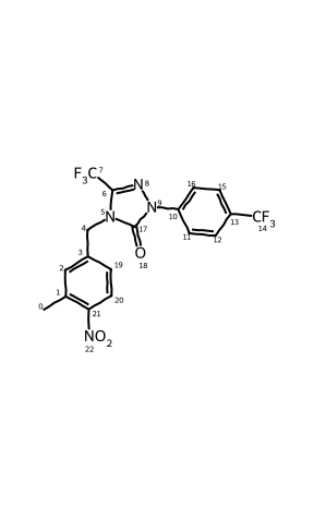 Cc1cc(Cn2c(C(F)(F)F)nn(-c3ccc(C(F)(F)F)cc3)c2=O)ccc1[N+](=O)[O-]